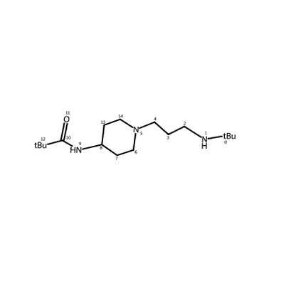 CC(C)(C)NCCCN1CCC(NC(=O)C(C)(C)C)CC1